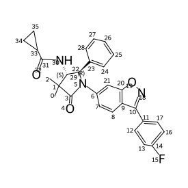 CC1(C)C(=O)N(c2ccc3c(-c4ccc(F)cc4)noc3c2)[C@H](c2ccccc2)[C@H]1NC(=O)C1CC1